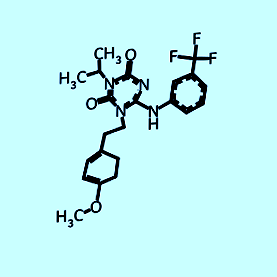 COC1=CC=C(CCn2c(Nc3cccc(C(F)(F)F)c3)nc(=O)n(C(C)C)c2=O)CC1